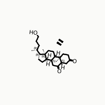 C=C.C=C.C[C@H](CCCO)[C@H]1CC[C@H]2[C@@H]3CC(=O)[C@H]4CC(=O)CC[C@]4(C)[C@H]3CC[C@]12C